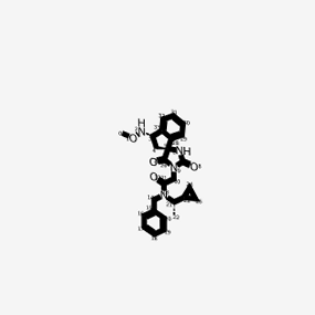 CON[C@H]1C[C@]2(NC(=O)N(CC(=O)N(Cc3ccccc3)[C@@H](C)C3CC3)C2=O)c2ccccc21